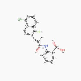 CC(=Cc1ccc2c(Cl)cccc2c1F)C(=O)Nc1ccccc1C(=O)O